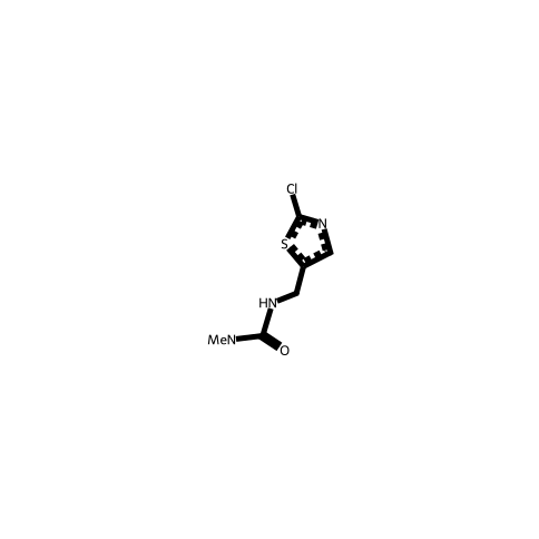 CNC(=O)NCc1cnc(Cl)s1